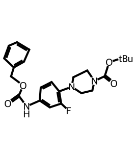 CC(C)(C)OC(=O)N1CCN(c2ccc(NC(=O)OCc3ccccc3)cc2F)CC1